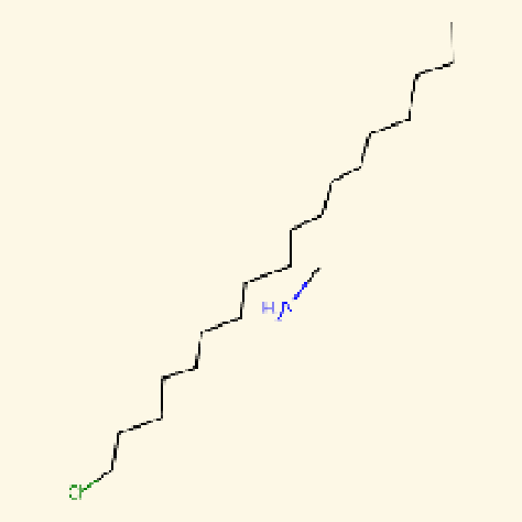 CCCCCCCCCCCCCCCCCCCl.CN